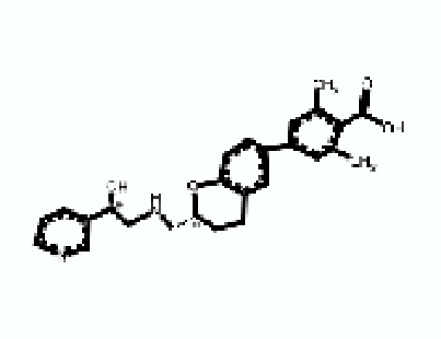 Cc1cc(-c2ccc3c(c2)CC[C@H](CNC[C@H](O)c2cccnc2)O3)cc(C)c1C(=O)O